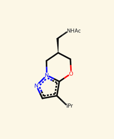 CC(=O)NC[C@H]1COc2c(C(C)C)cnn2C1